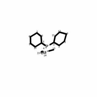 C1CCC([P-]C2CCCCC2)CC1.[CH3][Ga+][CH3]